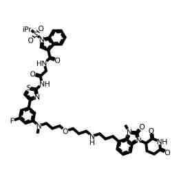 CC(C)S(=O)(=O)n1cc(C(=O)NCC(=O)Nc2nc(-c3cc(F)cc(N(C)CCCOCCCNCCCc4cccc5c4n(C)c(=O)n5C4CCC(=O)NC4=O)c3)cs2)c2ccccc21